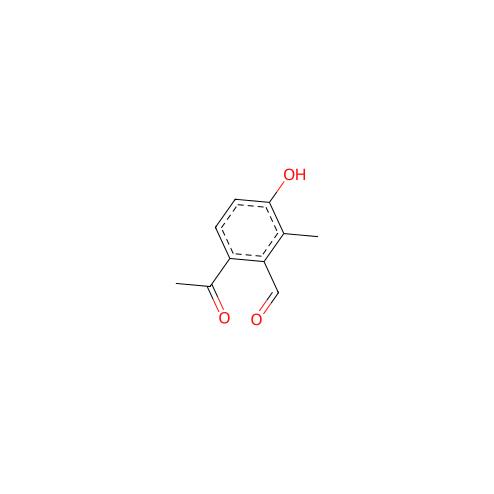 CC(=O)c1ccc(O)c(C)c1C=O